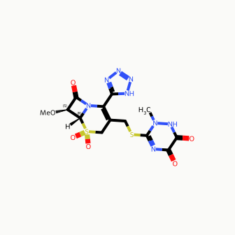 CO[C@H]1C(=O)N2C(c3nnn[nH]3)=C(CSc3nc(=O)c(=O)[nH]n3C)CS(=O)(=O)[C@H]12